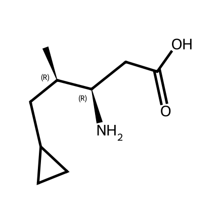 C[C@H](CC1CC1)[C@H](N)CC(=O)O